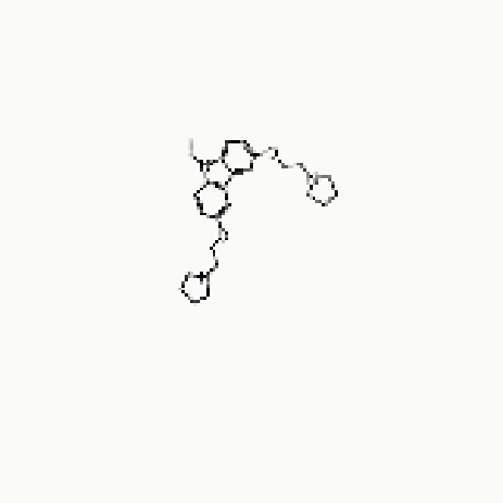 CCn1c2ccc(OCCN3CCCC3)cc2c2cc(OCCN3CCCC3)ccc21